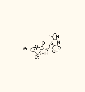 CC[C@@H](Nc1c(Nc2csc(C(=O)N(C)c3cc(C)on3)c2O)c(=O)c1=O)c1cc(C(C)C)co1